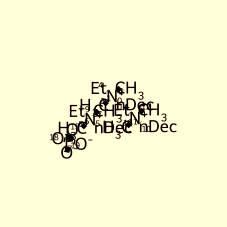 CCCCCCCCCC[N+](C)(C)CC.CCCCCCCCCC[N+](C)(C)CC.CCCCCCCCCC[N+](C)(C)CC.O=P([O-])([O-])[O-]